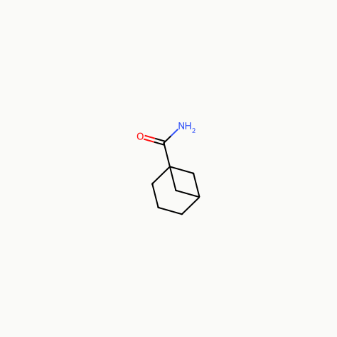 NC(=O)C12CCCC(C1)C2